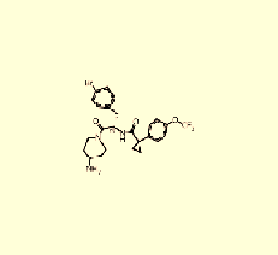 NC1CCN(C(=O)[C@H](Cc2ccc(Br)cc2)NC(=O)C2(c3ccc(OC(F)(F)F)cc3)CC2)CC1